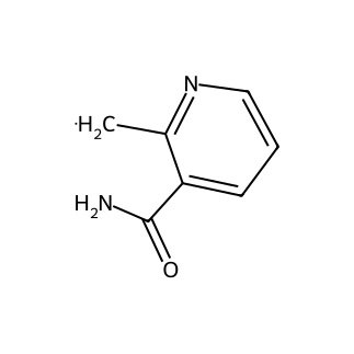 [CH2]c1ncccc1C(N)=O